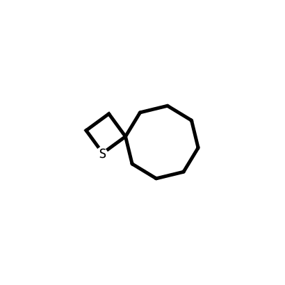 C1CCCC2(CCC1)CCS2